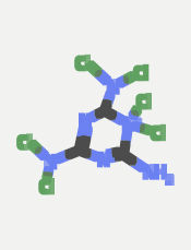 NC1=NC(N(Cl)Cl)=NC(N(Cl)Cl)[N+]1(Cl)Cl